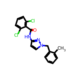 Cc1ccccc1Cn1ccc(NC(=O)c2c(Cl)cccc2Cl)n1